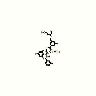 CCC(CCO)NCc1cc(C)cc(C(=O)N[C@@H](Cc2cc(F)cc(F)c2)[C@H](O)CNCc2cccc(I)c2)c1.Cl.Cl